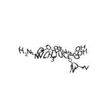 Cc1c(COc2cc(OCc3cncc(C#N)c3)c(CNC(CO)C(=O)O)cc2Cl)cccc1-c1cccc(-c2nnc(CCN)o2)c1C